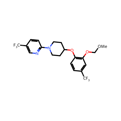 COCOc1cc(C(F)(F)F)ccc1OC1CCN(c2ccc(C(F)(F)F)cn2)CC1